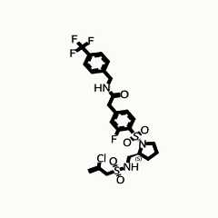 C=C(Cl)CS(=O)(=O)NC[C@@H]1CCCN1S(=O)(=O)c1ccc(CC(=O)NCc2ccc(C(F)(F)F)cc2)cc1F